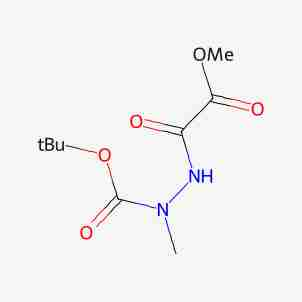 COC(=O)C(=O)NN(C)C(=O)OC(C)(C)C